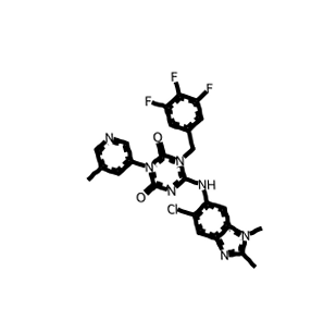 Cc1cncc(-n2c(=O)nc(Nc3cc4c(cc3Cl)nc(C)n4C)n(Cc3cc(F)c(F)c(F)c3)c2=O)c1